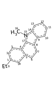 CCc1ccc2c(ccc3c4ccccc4n(C)c23)c1